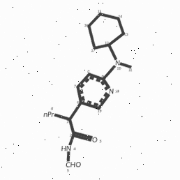 CCCC(C(=O)NC=O)c1ccc(N(C)C2CCCCC2)nc1